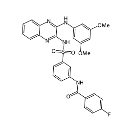 COc1cc(Nc2nc3ccccc3nc2NS(=O)(=O)c2cccc(NC(=O)c3ccc(F)cc3)c2)cc(OC)c1